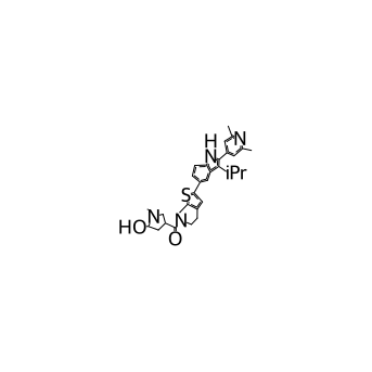 Cc1cc(-c2[nH]c3ccc(-c4cc5c(s4)CN(C(=O)C4CC(O)N(C)C4)CC5)cc3c2C(C)C)cc(C)n1